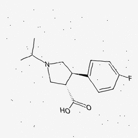 CC(C)N1C[C@@H](C(=O)O)[C@H](c2ccc(F)cc2)C1